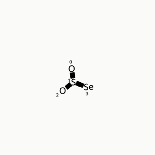 O=S(=O)=[Se]